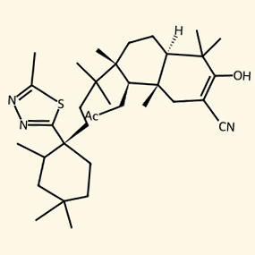 CC(=O)C[C@@H]1[C@@]2(C)CC(C#N)=C(O)C(C)(C)[C@@H]2CC[C@@]1(C)C(C)(C)CC[C@@]1(c2nnc(C)s2)CCC(C)(C)CC1C